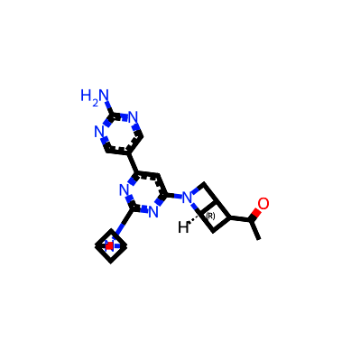 CC(=O)C1C[C@@H]2C1CN2c1cc(-c2cnc(N)nc2)nc(N2CC3CC2C3)n1